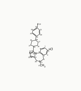 CN1Cc2cc(Cl)ccc2-n2c(nnc2C2CCC(c3ccc(F)cc3)CC2)C1